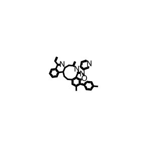 C=CC1=NC2CC(=C)[n+]3c(n(C)c4cnccc43)-c3c(cc(C)c4c3oc3cc(C)ccc34)CCC2c2ccccc21